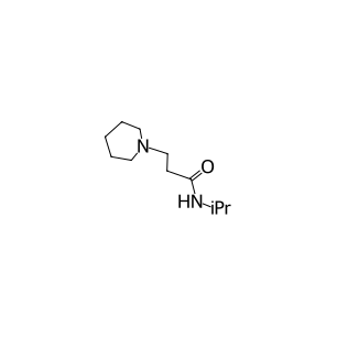 CC(C)NC(=O)CCN1CCCCC1